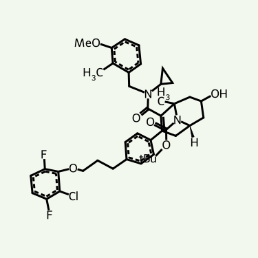 COc1cccc(CN(C(=O)C2=C(c3ccc(CCCOc4c(F)ccc(F)c4Cl)cc3)C[C@H]3CC(O)CC2(C)N3C(=O)OC(C)(C)C)C2CC2)c1C